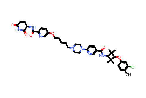 CC1(C)C(NC(=O)c2ccc(N3CCN(CCCCCOc4ccc(C(=O)NC5CCC(=O)NC5=O)nc4)CC3)nc2)C(C)(C)C1Oc1ccc(C#N)c(Cl)c1